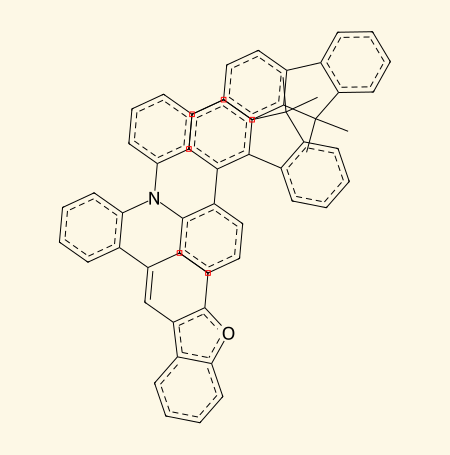 CC1(C)c2ccccc2-c2ccc(-c3cccc(N(c4ccccc4C4=Cc5c(oc6ccccc56)CC4)c4ccccc4-c4cccc5c4-c4ccccc4C5(C)C)c3)cc21